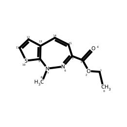 CCOC(=O)C1=NN(C)c2sccc2C=C1